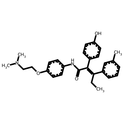 CC/C(=C(\C(=O)Nc1ccc(OCCN(C)C)cc1)c1ccc(O)cc1)c1cccc(C)c1